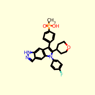 CP(=O)(O)c1ccc(-c2c(C3CCOCC3)n(-c3ccc(F)cc3)c3cc4cn[nH]c4cc23)cc1